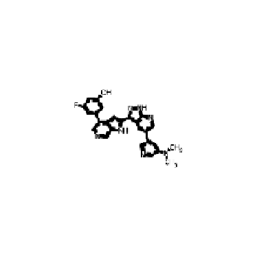 CN(C)c1cncc(-c2cnc3[nH]nc(-c4cc5c(-c6cc(O)cc(F)c6)cncc5[nH]4)c3c2)c1